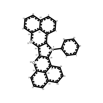 c1ccc(-n2c3c4cccc5cccc(oc3c3oc6cccc7cccc(c76)c32)c54)cc1